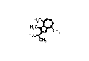 Cc1cccc(C)c2c(C)c(C(C)C)cc1-2